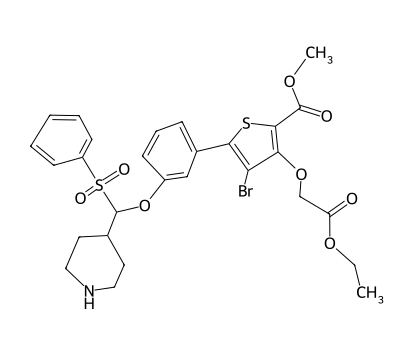 CCOC(=O)COc1c(C(=O)OC)sc(-c2cccc(OC(C3CCNCC3)S(=O)(=O)c3ccccc3)c2)c1Br